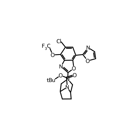 CC(C)(C)OC(=O)N1C2CCC1CN(c1nc3c(OC(F)(F)F)c(Cl)cc(-c4ncco4)c3o1)C2